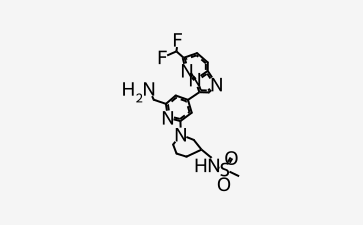 CS(=O)(=O)NCC1CCCN(c2cc(-c3cnc4ccc(C(F)F)nn34)cc(CN)n2)C1